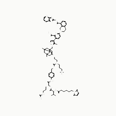 Cc1c(-c2ccc(N3CCc4cccc(C(=O)Nc5nc6ncccc6s5)c4C3)nc2C(=O)O)cnn1CC12CC3(C)CC(C)(C1)CC(OCCN(CCCP(=O)(O)O)C(=O)OCc1ccc(NC(=O)[C@H](CCCNC(N)=O)NC(=O)[C@@H](NC(=O)CCCCCN4C(=O)C=CC4=O)C(C)C)cc1)(C3)C2